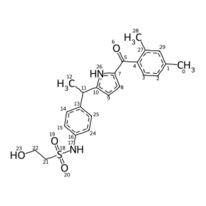 Cc1ccc(C(=O)c2ccc(C(C)c3ccc(NS(=O)(=O)CCO)cc3)[nH]2)c(C)c1